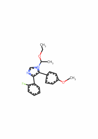 CCOC(C)n1cnc(-c2ccccc2F)c1-c1ccc(OC)cc1